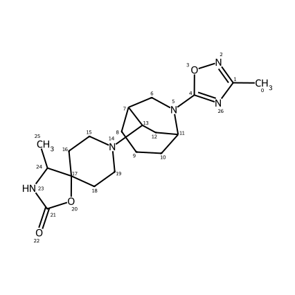 Cc1noc(N2CC3CCCC2CC3N2CCC3(CC2)OC(=O)NC3C)n1